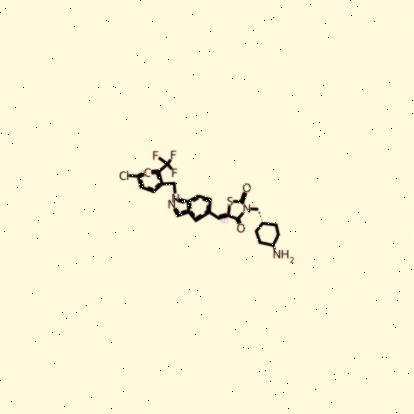 N[C@H]1CC[C@H](CN2C(=O)S/C(=C\c3ccc4c(cnn4Cc4ccc(Cl)cc4C(F)(F)F)c3)C2=O)CC1